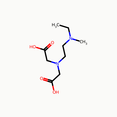 CCN(C)CCN(CC(=O)O)CC(=O)O